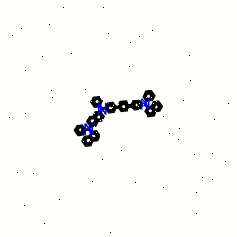 c1ccc(N(c2ccc(-c3ccc(-c4ccc(N(c5ccccc5)c5cccc6ccccc56)cc4)cc3)cc2)c2ccc3cc(N(c4ccccc4)c4cccc5ccccc45)ccc3c2)cc1